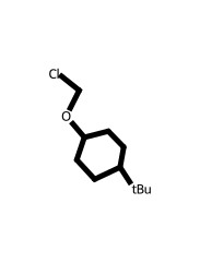 CC(C)(C)C1CCC(OCCl)CC1